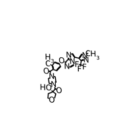 Cc1cc(Oc2nccn3c(-c4cn(C)nc4C(F)(F)F)cnc23)ccc1C(=O)N1CCN(C(=O)C2(O)CCOCC2)CC1